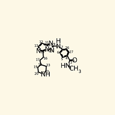 CNC(=O)c1ccc(Nc2nc3ccnc(CCC4CCNCC4)n3n2)cc1